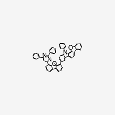 c1ccc(-c2cc(-c3cccc4c3oc3c(-c5ccc6c(c5)c5ccc7c8ccccc8oc7c5n6-c5ccccc5)cccc34)nc(-c3ccccc3)n2)cc1